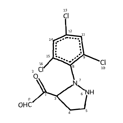 O=CC(=O)C1CCNN1c1c(Cl)cc(Cl)cc1Cl